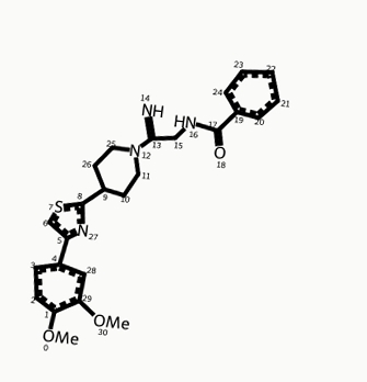 COc1ccc(-c2csc(C3CCN(C(=N)CNC(=O)c4ccccc4)CC3)n2)cc1OC